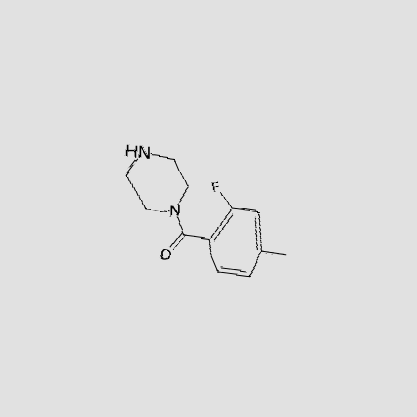 Cc1ccc(C(=O)N2CCNCC2)c(F)c1